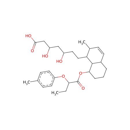 CCC(Oc1ccc(C)cc1)C(=O)OC1CCCC2C=CC(C)C(CCC(O)CC(O)CC(=O)O)C21